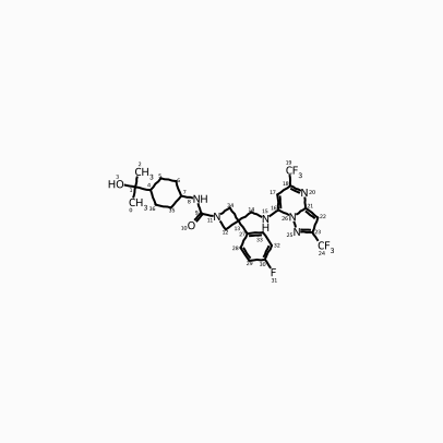 CC(C)(O)C1CCC(NC(=O)N2CC(CNc3cc(C(F)(F)F)nc4cc(C(F)(F)F)nn34)(c3ccc(F)cc3)C2)CC1